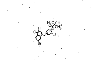 CC1CN(Cc2c[nH]c(=O)c3ccc(Br)cc23)CCN1OC(=O)C(C)(C)C